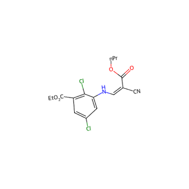 CCCOC(=O)C(C#N)=CNc1cc(Cl)cc(C(=O)OCC)c1Cl